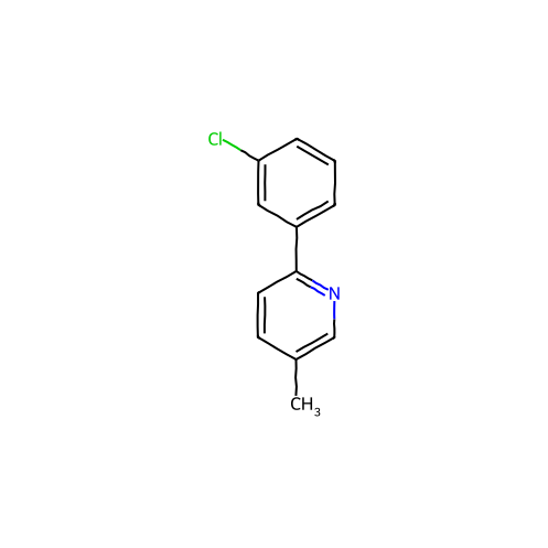 Cc1ccc(-c2cccc(Cl)c2)nc1